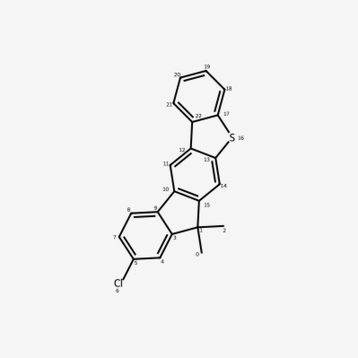 CC1(C)c2cc(Cl)ccc2-c2cc3c(cc21)sc1ccccc13